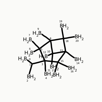 BC(B)C1(B)C(B)(B)C2(B)C(B)(B)C(B)(C1(B)B)C2(B)B